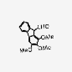 COc1cc2c(c(OC)c1OC)C(C=O)c1ccccc1-2